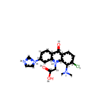 CN(C)c1c(Cl)ccc2c(=O)c3ccc(-n4ccnc4)cc3n(CC(=O)O)c12